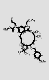 COCOc1cc(N(CCI)C(=O)OC(C)(C)C)cc2c1C(=O)O[C@@H](C)[C@H](C)/C=C\[C@@H](OCc1ccc(OC)cc1)[C@H]1OC(C)(C)O[C@H]1C/C=C/2